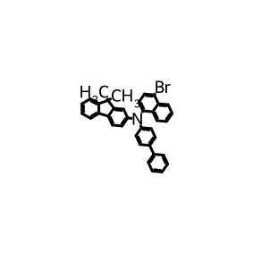 CC1(C)c2ccccc2-c2ccc(N(c3ccc(-c4ccccc4)cc3)c3ccc(Br)c4ccccc34)cc21